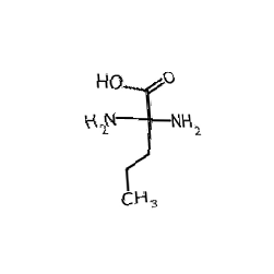 CCCC(N)(N)C(=O)O